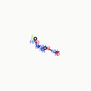 Cc1cc(CNCCCOc2ccc3c(Nc4cnn(CC(=O)Nc5cccc(F)c5F)c4)ncnc3c2)no1